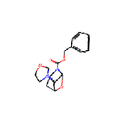 O=C(OCc1ccccc1)N1CCC2OC1C2N1CCOC1